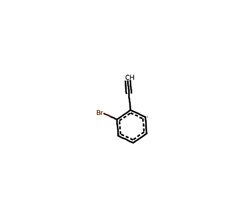 C#Cc1[c]cccc1Br